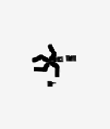 Br.CC[N+](CC)(CC)CC.Cl.[Br-]